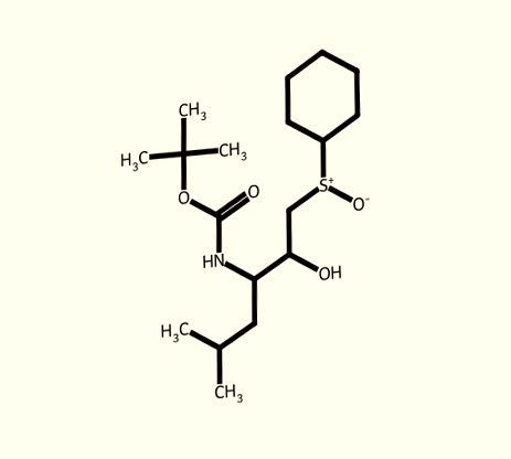 CC(C)CC(NC(=O)OC(C)(C)C)C(O)C[S+]([O-])C1CCCCC1